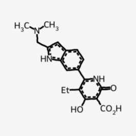 CCc1c(-c2ccc3cc(CN(C)C)[nH]c3c2)[nH]c(=O)c(C(=O)O)c1O